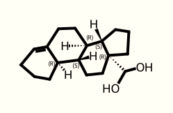 OC(O)[C@@]12CCC[C@H]1[C@@H]1CCC3=CCCC[C@@H]3[C@H]1CC2